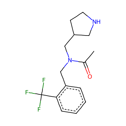 CC(=O)N(Cc1ccccc1C(F)(F)F)CC1CCNC1